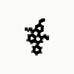 COc1cc(C=O)ccc1OC([C]=O)CC(c1ccccc1)c1ccccc1